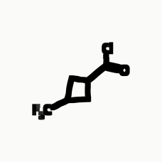 O=C(Cl)C1CC(C(F)(F)F)C1